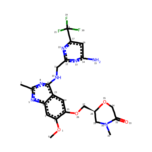 COc1cc2nc(C)nc(NCc3nc(N)cc(C(F)(F)F)n3)c2cc1OC[C@@H]1CN(C)C(=O)CO1